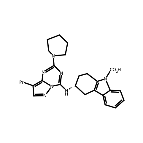 CC(C)c1cnn2c(N[C@@H]3CCc4c(c5ccccc5n4C(=O)O)C3)nc(N3CCCCC3)nc12